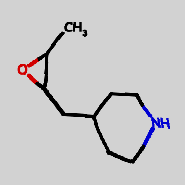 CC1OC1CC1CCNCC1